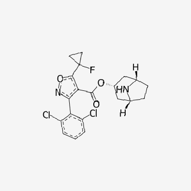 O=C(O[C@H]1C[C@H]2CC[C@@H](C1)N2)c1c(-c2c(Cl)cccc2Cl)noc1C1(F)CC1